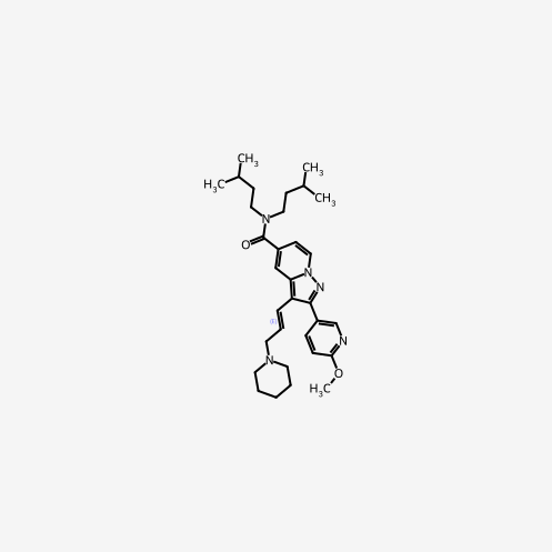 COc1ccc(-c2nn3ccc(C(=O)N(CCC(C)C)CCC(C)C)cc3c2/C=C/CN2CCCCC2)cn1